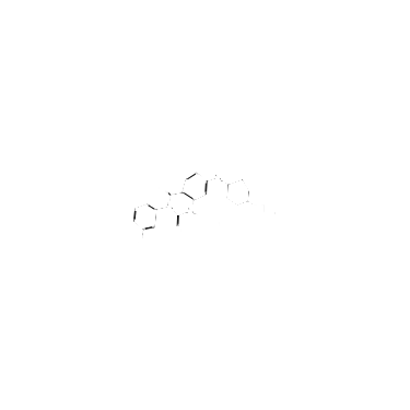 CC1CCC(Nc2ccc3c(=O)n(-c4cccc(Cl)c4)c(=O)n(C)c3c2)CC1